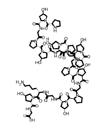 NCCCC[C@H](NC(=O)CNC(=O)[C@@H]1C[C@@H](O)CN1C(=O)[C@@H]1CCCN1C(=O)CNC(=O)[C@@H]1C[C@@H](O)CN1C(=O)[C@@H]1CCCN1C(=O)CNC(=O)[C@@H]1C[C@@H](O)CN1C(=O)[C@@H]1CCCN1C(=O)CNC(=O)[C@@H]1C[C@@H](O)CN1C(=O)[C@@H]1CCCN1C(=O)CNC(=O)[C@@H]1C[C@@H](O)CN1C(=O)[C@@H]1CCCN1C(=O)CNC(=O)[C@@H]1C[C@@H](O)CN1C(=O)[C@@H]1CCCN1)C(=O)N1C[C@H](O)C[C@H]1C(=O)NCC(=O)O